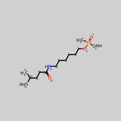 COP(C)(=O)OCCCCCCNC(=O)CCC(C)SC